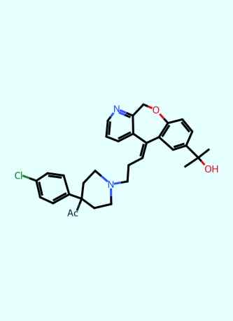 CC(=O)C1(c2ccc(Cl)cc2)CCN(CC/C=C2/c3cc(C(C)(C)O)ccc3OCc3ncccc32)CC1